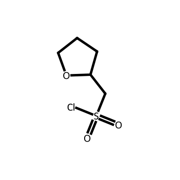 O=S(=O)(Cl)CC1CCCO1